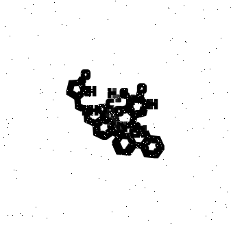 COc1nc(C2(NC(=O)c3c[nH]c(=O)n(C)c3=O)C=CC=C(c3ccccc3Cl)[C@@H]2C)ccc1CNCC1CCC(=O)N1